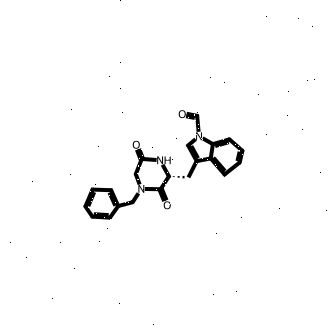 O=Cn1cc(C[C@H]2NC(=O)CN(Cc3ccccc3)C2=O)c2ccccc21